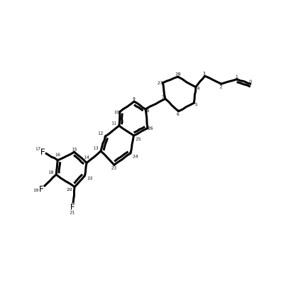 C=CCCC1CCC(c2ccc3cc(-c4cc(F)c(F)c(F)c4)ccc3c2)CC1